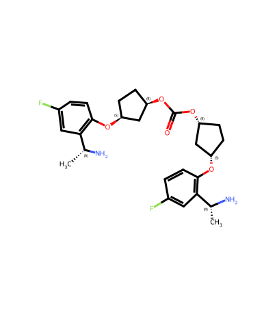 C[C@@H](N)c1cc(F)ccc1O[C@H]1CC[C@@H](OC(=O)O[C@@H]2CC[C@H](Oc3ccc(F)cc3[C@@H](C)N)C2)C1